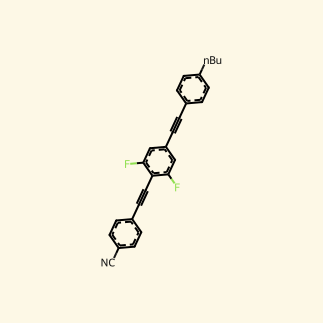 CCCCc1ccc(C#Cc2cc(F)c(C#Cc3ccc(C#N)cc3)c(F)c2)cc1